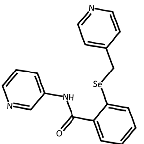 O=C(Nc1cccnc1)c1ccccc1[Se]Cc1ccncc1